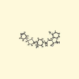 O=C1Nc2cccc(F)c2C1=CNc1ccc(N2CCC(c3ccncc3)C2)c(F)c1